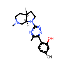 Cc1nc(N2CC[C@H]3CCN(C)C[C@H]32)nnc1-c1ccc(C#N)cc1O